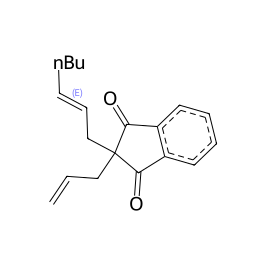 C=CCC1(C/C=C/CCCC)C(=O)c2ccccc2C1=O